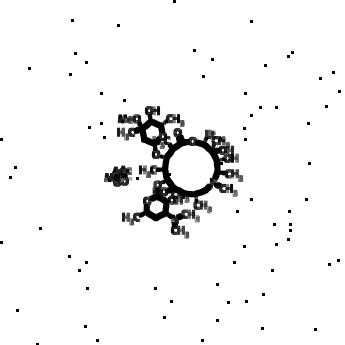 CC(=O)[O-].CC(=O)[O-].CC[C@H]1OC(=O)[C@H](C)[C@@H](O[C@H]2C[C@@](C)(OC)[C@@H](O)[C@H](C)O2)[C@H](C)[C@@H](O[C@@H]2O[C@H](C)C[C@H](N(C)C)[C@H]2O)[C@](C)(O)C[C@@H](C)CN(C)[C@H](C)[C@@H](O)[C@]1(C)O.[Mg+2]